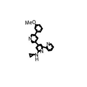 COc1cccc(-c2cncc(-c3cc(NC4CC4)nc(-c4ccccn4)c3)c2)c1